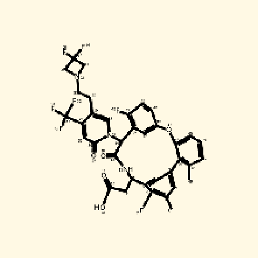 Cc1cc2cc(c1F)C(CC(=O)O)NC(=O)C(n1cc(CCN3CC(F)(F)C3)c(C(F)(F)F)cc1=O)c1cc(ccc1F)Oc1cccc(C)c1-2